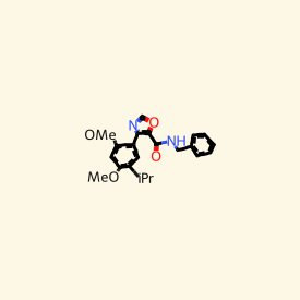 COc1cc(OC)c(C(C)C)cc1-c1ncoc1C(=O)NCc1ccccc1